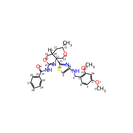 COc1ccc(CNc2csc([C@]34CO[C@@H](C)C[C@H]3COC(NC(=O)c3ccccc3)=N4)n2)c(OC)c1